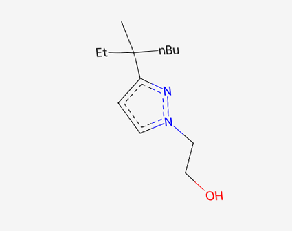 CCCCC(C)(CC)c1ccn(CCO)n1